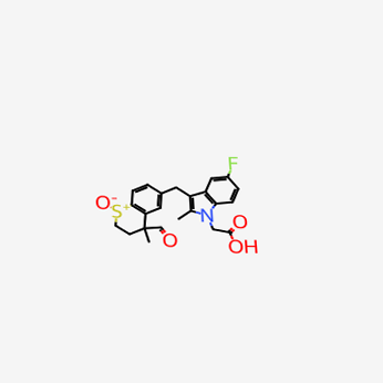 Cc1c(Cc2ccc3c(c2)C(C)(C=O)CC[S+]3[O-])c2cc(F)ccc2n1CC(=O)O